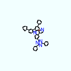 c1ccc(-c2ccc3c(c2)c2cc(-c4ccccc4)ccc2n3-c2ccc(-c3nc(-c4ccccc4)nc(-c4ccccc4)n3)cc2-c2ccncc2)cc1